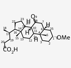 CO[C@@H]1CC[C@@]2(C)[C@H](CC(=O)[C@@H]3[C@@H]2CC[C@]2(C)[C@@H]([C@H](C)CCC(=O)O)CC[C@@H]32)C1